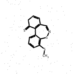 CSc1cccc2c1SN=CC1=C2C(=S)CC=C1